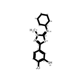 Cn1nc(-c2ccc(Cl)c(S)c2)s/c1=N/C1CCCCC1